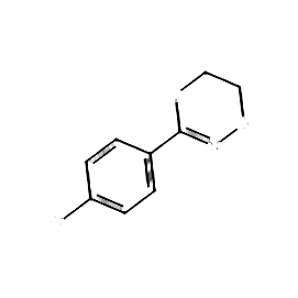 Clc1ccc(C2=NOCCS2)cc1